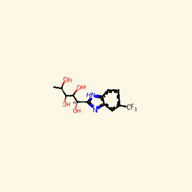 CC(O)C(O)C(O)[C@H](O)c1nc2cc(C(F)(F)F)ccc2[nH]1